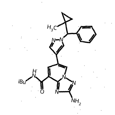 CCC(C)NC(=O)c1cc(-c2cnn(C(c3ccccc3)C3(C)CC3)c2)cn2nc(N)nc12